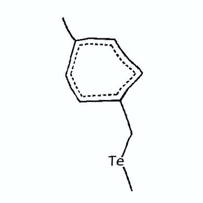 C[Te]Cc1ccc(C)cc1